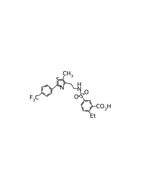 CCc1ccc(S(=O)(=O)NCCc2nc(-c3ccc(C(F)(F)F)cc3)sc2C)cc1C(=O)O